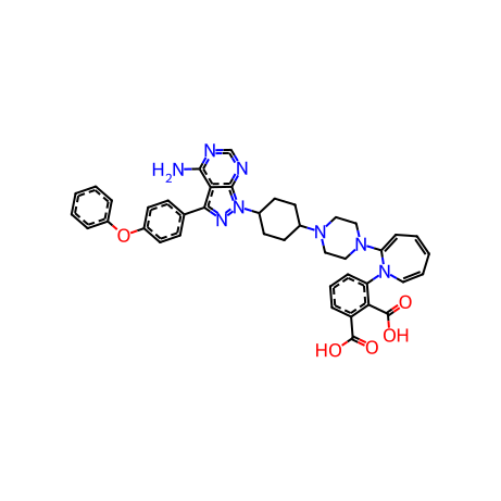 Nc1ncnc2c1c(-c1ccc(Oc3ccccc3)cc1)nn2C1CCC(N2CCN(C3=CC=CC=CN3c3cccc(C(=O)O)c3C(=O)O)CC2)CC1